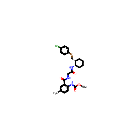 CC(C)(C)OC(=O)Nc1ccc(C(F)(F)F)cc1C(=O)NCC(=O)N[C@H]1CCCC[C@H]1CSc1ccc(Br)cc1